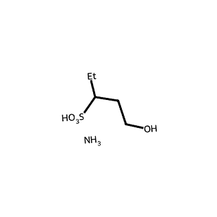 CCC(CCO)S(=O)(=O)O.N